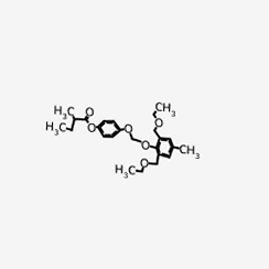 CCOCc1cc(C)cc(COCC)c1OCCOc1ccc(OC(=O)C(C)CC)cc1